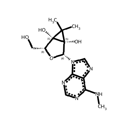 CNc1ncnc2c1ncn2[C@@H]1O[C@H](CO)[C@@]2(O)C(C)(C)[C@@]12O